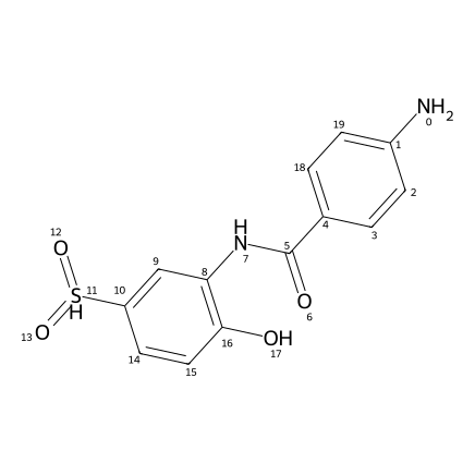 Nc1ccc(C(=O)Nc2cc([SH](=O)=O)ccc2O)cc1